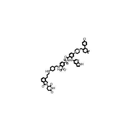 CC1(C)CCC(CN2CCN(c3ccc(C(=O)NS(=O)(=O)c4ccc(NCC5CCC(NCCCc6cccc7c6CN(C6CCC(=O)NC6=O)C7=O)CC5)c([N+](=O)[O-])c4)c(Oc4cnc5[nH]ccc5c4)c3)CC2)=C(c2ccc(Cl)cc2)C1